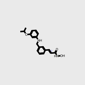 CC(C)Oc1cccc(NCc2cccc(/C=C/C(=O)NO)c2)c1